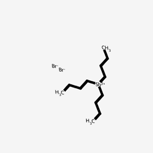 CCC[CH2][Sb+2]([CH2]CCC)[CH2]CCC.[Br-].[Br-]